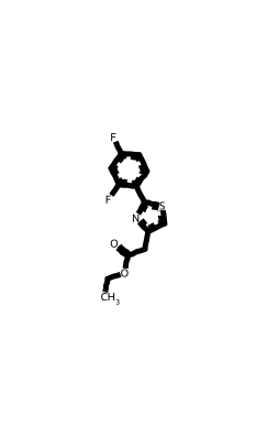 CCOC(=O)Cc1csc(-c2ccc(F)cc2F)n1